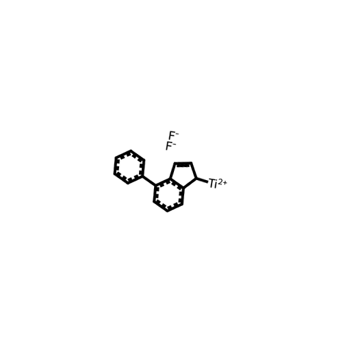 [F-].[F-].[Ti+2][CH]1C=Cc2c(-c3ccccc3)cccc21